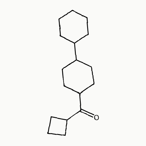 O=C(C1CCC1)C1CCC(C2CCCCC2)CC1